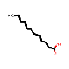 CCCCCCCCCCC[C](O)O